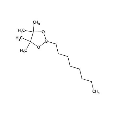 CCCCCCCCB1OC(C)(C)C(C)(C)O1